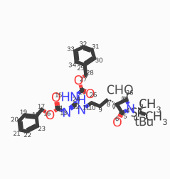 CC(C)(C)[Si](C)(C)N1C(=O)[C@H](CCCNC(=NC(=O)OCc2ccccc2)NC(=O)OCc2ccccc2)[C@@H]1C=O